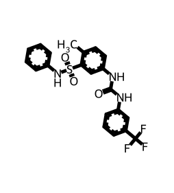 Cc1ccc(NC(=O)Nc2cccc(C(F)(F)F)c2)cc1S(=O)(=O)Nc1ccccc1